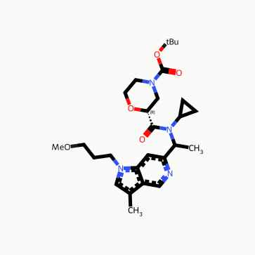 COCCCn1cc(C)c2cnc(C(C)N(C(=O)[C@H]3CN(C(=O)OC(C)(C)C)CCO3)C3CC3)cc21